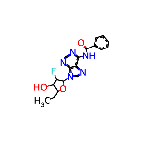 CCC1OC(n2cnc3c(NC(=O)c4ccccc4)ncnc32)C(F)C1O